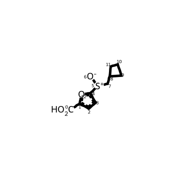 O=C(O)c1ccc([S+]([O-])CC2CCC2)o1